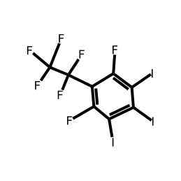 Fc1c(I)c(I)c(I)c(F)c1C(F)(F)C(F)(F)F